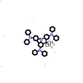 CC1(C)c2cc(N(c3ccccc3)c3ccccc3)ccc2-n2c3ccc(N(c4ccccc4)c4ccccc4)cc3c3cc(N(c4ccccc4)c4ccccc4)cc1c32